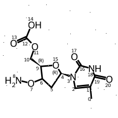 Cc1cn([C@H]2CC(ON)[C@@H](COC(=O)O)O2)c(=O)[nH]c1=O